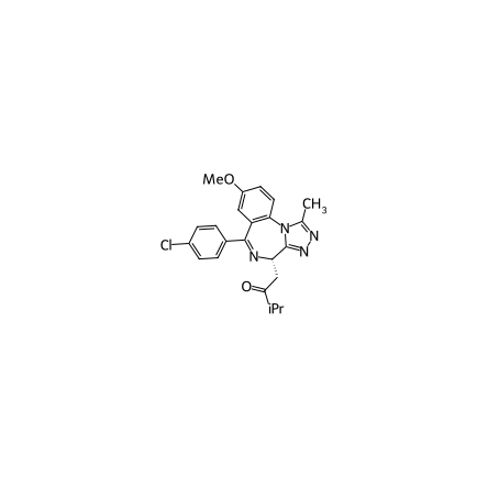 COc1ccc2c(c1)C(c1ccc(Cl)cc1)=N[C@@H](CC(=O)C(C)C)c1nnc(C)n1-2